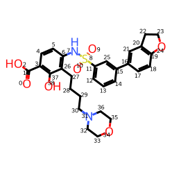 O=C(O)c1ccc(NS(=O)(=O)c2cccc(-c3ccc4c(c3)CCO4)c2)c(CCCCN2CCOCC2)c1O